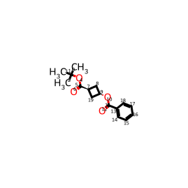 CC(C)(C)OC(=O)[C@H]1C[C@H](OC(=O)c2ccccc2)C1